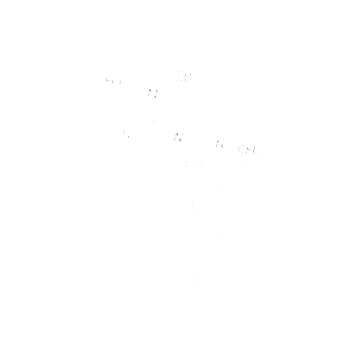 CCC1(c2cn(C(=S)N(C)C)cn2)Cc2ccccc2C1